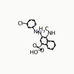 CNc1c(/N=N/c2cccc(Cl)c2)cc(S(=O)(=O)O)c2ccccc12